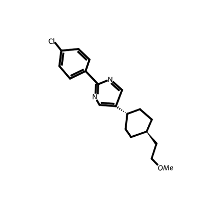 COCC[C@H]1CC[C@H](c2cnc(-c3ccc(Cl)cc3)nc2)CC1